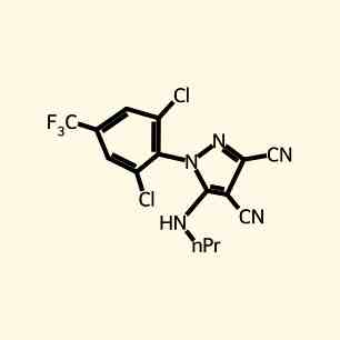 CCCNc1c(C#N)c(C#N)nn1-c1c(Cl)cc(C(F)(F)F)cc1Cl